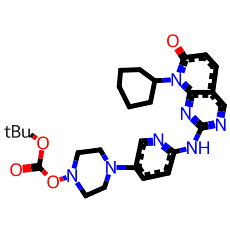 CC(C)(C)OC(=O)ON1CCN(c2ccc(Nc3ncc4ccc(=O)n(C5CCCCC5)c4n3)nc2)CC1